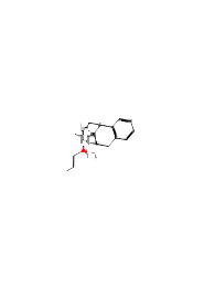 CC(C)CCC(=O)N(C)[C@H]1[C@H]2Cc3ccc(O)cc3[C@]1(C)CCN2C